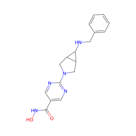 O=C(NO)c1cnc(N2CC3C(C2)C3NCc2ccccc2)nc1